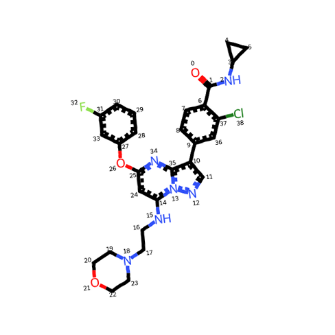 O=C(NC1CC1)c1ccc(-c2cnn3c(NCCN4CCOCC4)cc(Oc4cccc(F)c4)nc23)cc1Cl